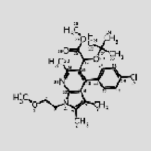 COCCn1c(C)c(C)c2c(-c3ccc(Cl)cc3)c(C(OC(C)(C)C)C(=O)OC)c(C)nc21